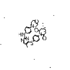 Cc1cnc(Nc2ccc(N3CCOCC3)cc2)nc1Sc1ccc(N2C(=O)CSCC2=O)cc1